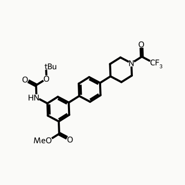 COC(=O)c1cc(NC(=O)OC(C)(C)C)cc(-c2ccc(C3CCN(C(=O)C(F)(F)F)CC3)cc2)c1